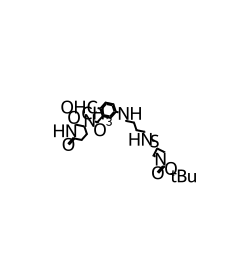 CN(C(=O)c1cc(NCCCCNSC2CN(C(=O)OC(C)(C)C)C2)ccc1C=O)C1CCC(=O)NC1=O